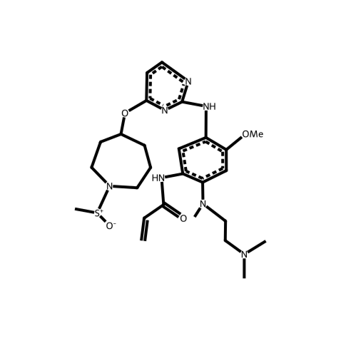 C=CC(=O)Nc1cc(Nc2nccc(OC3CCCN([S+](C)[O-])CC3)n2)c(OC)cc1N(C)CCN(C)C